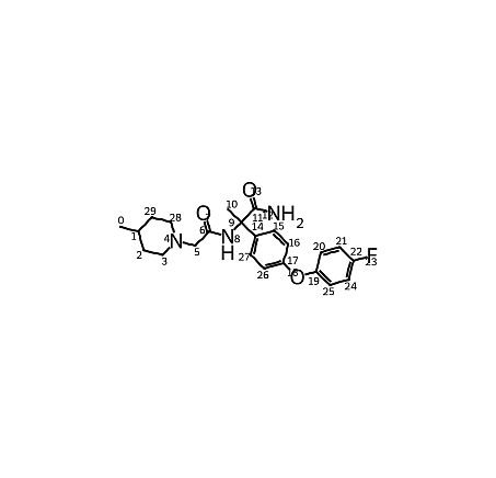 CC1CCN(CC(=O)NC(C)(C(N)=O)c2ccc(Oc3ccc(F)cc3)cc2)CC1